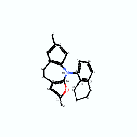 Cc1ccc2c(c1)CCc1cc(C)oc1N2c1cccc2c1CCCC2